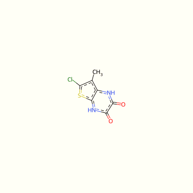 Cc1c(Cl)sc2[nH]c(=O)c(=O)[nH]c12